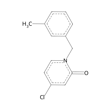 Cc1cccc(Cn2ccc(Cl)cc2=O)c1